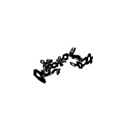 CN(C)CC[C@H](CSc1ccccc1)Nc1ccc(S(=O)(=O)NC(=O)c2ccc(NCCNCC3=C(c4ccc(Cl)cc4)CC(C)(C)CC3)cc2)cc1S(=O)(=O)C(F)(F)Cl